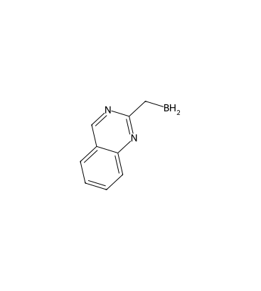 BCc1ncc2ccccc2n1